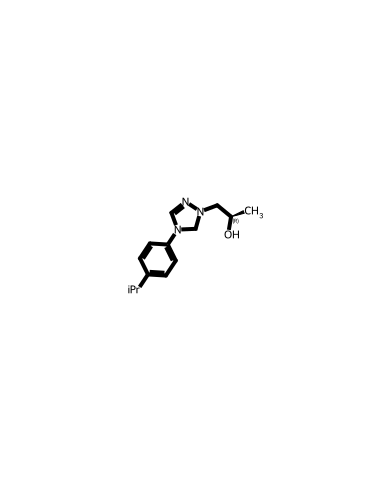 CC(C)c1ccc(N2C=NN(C[C@@H](C)O)C2)cc1